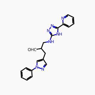 O=CC(CNc1nnc(-c2ccccn2)[nH]1)Cc1cnn(-c2ccccc2)c1